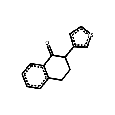 O=C1c2ccccc2CCC1c1ccsc1